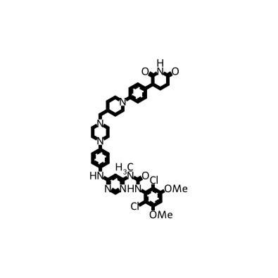 COc1cc(OC)c(Cl)c(NC(=O)N(C)c2cc(Nc3ccc(N4CCN(CC5CCN(c6ccc(C7CCC(=O)NC7=O)cc6)CC5)CC4)cc3)ncn2)c1Cl